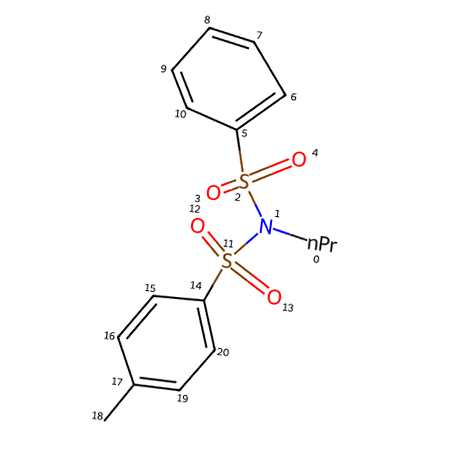 CCCN(S(=O)(=O)c1ccccc1)S(=O)(=O)c1ccc(C)cc1